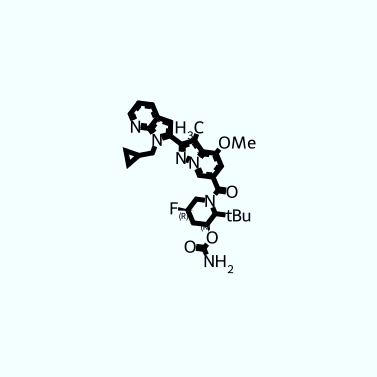 COc1cc(C(=O)N2C[C@H](F)C[C@@H](OC(N)=O)C2C(C)(C)C)cn2nc(-c3cc4cccnc4n3CC3CC3)c(C)c12